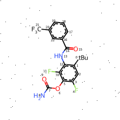 CC(C)(C)c1cc(F)c(OC(N)=O)c(F)c1NC(=O)c1cccc(C(F)(F)F)c1